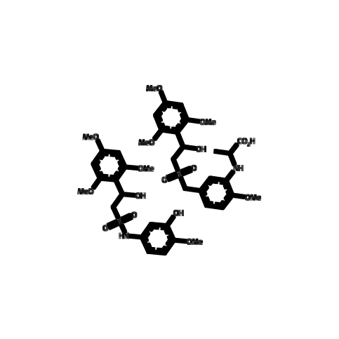 COc1cc(OC)c(C(O)CS(=O)(=O)Cc2ccc(OC)c(NC(C)C(=O)O)c2)c(OC)c1.COc1cc(OC)c(C(O)CS(=O)(=O)Nc2ccc(OC)c(O)c2)c(OC)c1